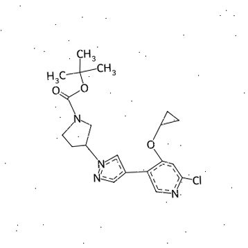 CC(C)(C)OC(=O)N1CCC(n2cc(-c3cnc(Cl)cc3OC3CC3)cn2)C1